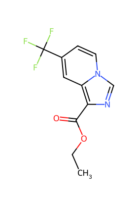 CCOC(=O)c1ncn2ccc(C(F)(F)F)cc12